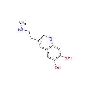 CNCCc1cnc2cc(O)c(O)cc2c1